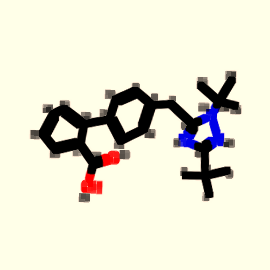 CC(C)(C)c1nc(Cc2ccc(-c3ccccc3C(=O)O)cc2)n(C(C)(C)C)n1